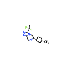 CC(F)(F)c1nnc2cnc(-c3ccc(C(F)(F)F)cc3)cn12